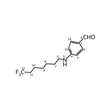 O=Cc1ccc(NCCCCCCC(F)(F)F)cc1